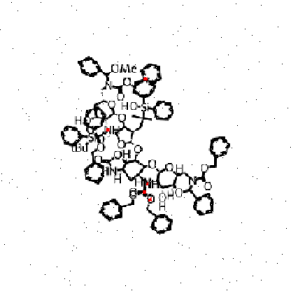 COC(c1ccccc1)N(C[C@H]1C[C@H](O)[C@@H](NC(=O)OCc2ccccc2)[C@@H](O[C@H]2[C@@H](CC(C)(C)[Si](O)(c3ccccc3)c3ccccc3)[C@H](O[C@@H]3[C@H]4OC(=O)N[C@@H]4C[C@H](NC(=O)OCc4ccccc4)[C@H]3O[C@H]3O[C@@H]4CN(C(=O)OCc5ccccc5)C(c5ccccc5)O[C@H]4[C@H](O)[C@H]3NC(=O)OCc3ccccc3)O[C@@H]2CO[Si](c2ccccc2)(c2ccccc2)C(C)(C)C)O1)C(=O)OCc1ccccc1